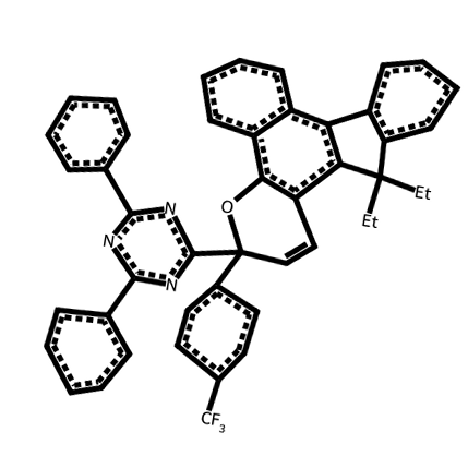 CCC1(CC)c2ccccc2-c2c1c1c(c3ccccc23)OC(c2ccc(C(F)(F)F)cc2)(c2nc(-c3ccccc3)nc(-c3ccccc3)n2)C=C1